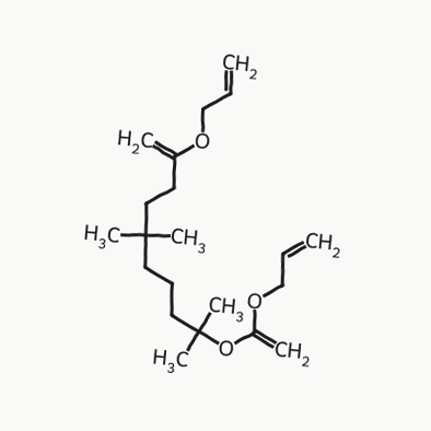 C=CCOC(=C)CCC(C)(C)CCCC(C)(C)OC(=C)OCC=C